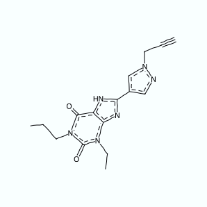 C#CCn1cc(-c2nc3c([nH]2)c(=O)n(CCC)c(=O)n3CC)cn1